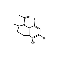 C=C(C)N1c2c(F)cc(Br)c(O)c2CCC1C